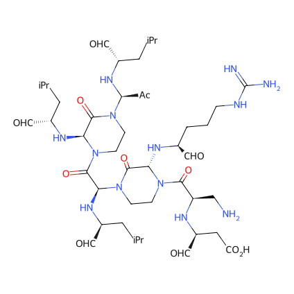 CC(=O)[C@H](N[C@H](C=O)CC(C)C)N1CCN(C(=O)[C@H](N[C@H](C=O)CC(C)C)N2CCN(C(=O)[C@@H](CN)N[C@H](C=O)CC(=O)O)[C@@H](N[C@H](C=O)CCCNC(=N)N)C2=O)[C@@H](N[C@H](C=O)CC(C)C)C1=O